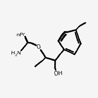 CCCC(N)OC(C)C(O)c1ccc(C)cc1